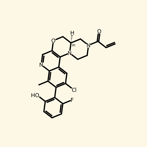 C=CC(=O)N1CCN2c3c(cnc4c(C)c(-c5c(O)cccc5F)c(Cl)cc34)OC[C@H]2C1